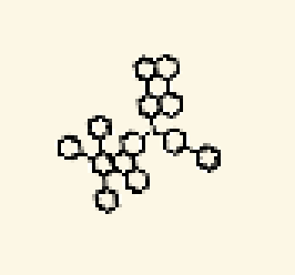 C1=CC(c2cc(-c3ccccc3)c3c4c(c5c(c3c2-c2ccccc2)C=CC(N(C2=CC=C(c3ccccc3)CC2)c2ccc3c6c2CCC=C6C2CC=Cc6cccc-3c62)C5)CCC=C4)=CCC1